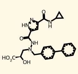 O=C(NC1CC1)c1cc(C(=O)NN(Cc2ccc(-c3ccccc3)cc2)C[C@@H](O)C(=O)O)[nH]n1